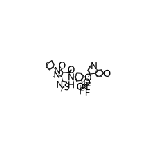 COc1ccc2c(Oc3ccc(NC(=O)c4c(-c5csc(C)n5)n(C)n(-c5ccccc5)c4=O)cc3S(=O)(=O)C(F)(F)F)ccnc2c1